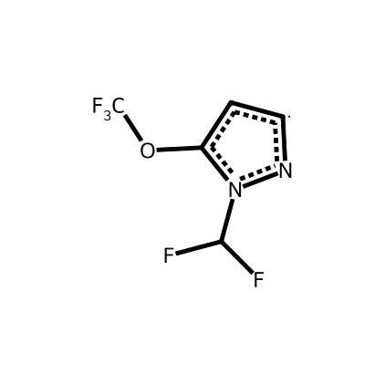 FC(F)n1n[c]cc1OC(F)(F)F